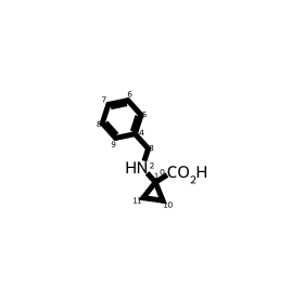 O=C(O)C1(NCc2ccccc2)CC1